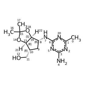 Cc1nc(N)nc(N[C@@H]2C[C@H](CO)[C@H]3OC(C)(C)O[C@H]32)n1